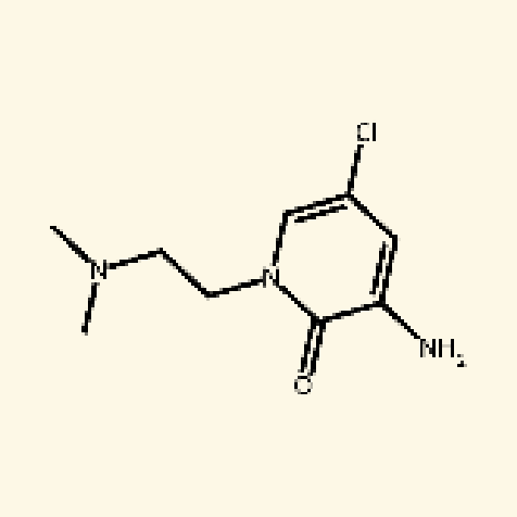 CN(C)CCn1cc(Cl)cc(N)c1=O